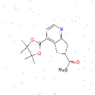 COC(=O)C1Cc2nccc(B3OC(C)(C)C(C)(C)O3)c2C1